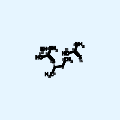 CCCC.NC(O)=S.NC(O)=S.[KH]